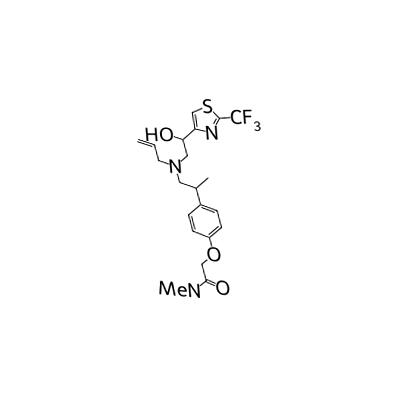 C=CCN(CC(C)c1ccc(OCC(=O)NC)cc1)CC(O)c1csc(C(F)(F)F)n1